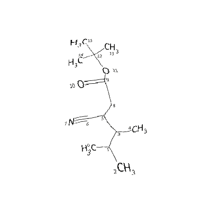 CC(C)C(C)C(C#N)CC(=O)OC(C)(C)C